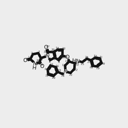 O=C1CCC(N2Cc3cc(OC4CN(Cc5ccccc5)CCC4NCCc4ccccc4)ccc3C2=O)C(=O)N1